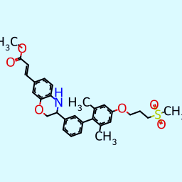 COC(=O)/C=C/c1ccc2c(c1)OCC(c1cccc(-c3c(C)cc(OCCCS(C)(=O)=O)cc3C)c1)N2